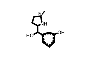 C[C@@H]1CCC(C(O)c2cccc(O)c2)N1